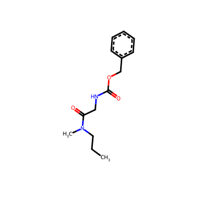 CCCN(C)C(=O)CNC(=O)OCc1ccccc1